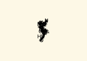 COCCNCc1cc2c3c(ccc(F)c3c1)N(c1cc(-c3ccc(C#N)cc3-c3nncn3C)cc(C)n1)C2=O